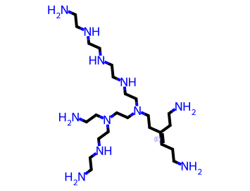 NCC/C=C(\CCN)CCN(CCNCCNCCNCCN)CCN(CCN)CCNCCN